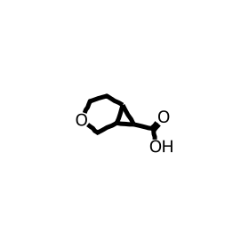 O=C(O)C1C2CCOCC21